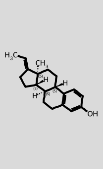 CC=C1CC[C@H]2[C@@H]3CCc4cc(O)ccc4[C@H]3CC[C@]12C